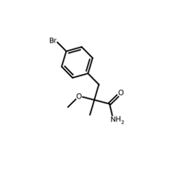 COC(C)(Cc1ccc(Br)cc1)C(N)=O